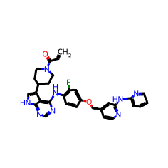 C=CC(=O)N1CCC(c2c[nH]c3ncnc(Nc4ccc(OCc5ccnc(Nc6ccccn6)c5)cc4F)c23)CC1